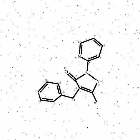 Cc1[nH]n(-c2ccccn2)c(=O)c1Cc1ccccc1